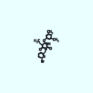 CCc1c(Oc2cc(C)cc(C)c2)[nH]c(=O)n(Cc2cccc(Br)n2)c1=O